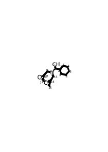 CC(C1CCCCC1)N(CC1CO1)CC1CO1